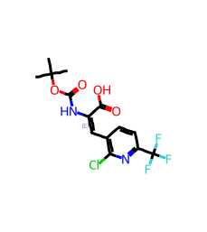 CC(C)(C)OC(=O)N/C(=C/c1ccc(C(F)(F)F)nc1Cl)C(=O)O